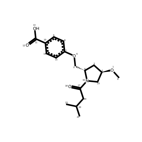 CO[C@@H]1C[C@@H](COc2ccc(C(=O)O)cc2)N(C(=O)CC(C)C)C1